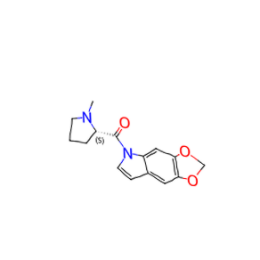 CN1CCC[C@H]1C(=O)n1ccc2cc3c(cc21)OCO3